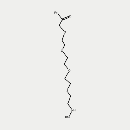 CC(C)C(=O)COCCOCCOCCOCCNC(C)(C)C